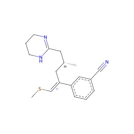 CS/C=C(\C[C@@H](C)CC1=NCCCN1)c1cccc(C#N)c1